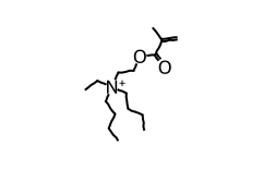 C=C(C)C(=O)OCC[N+](CC)(CCCC)CCCC